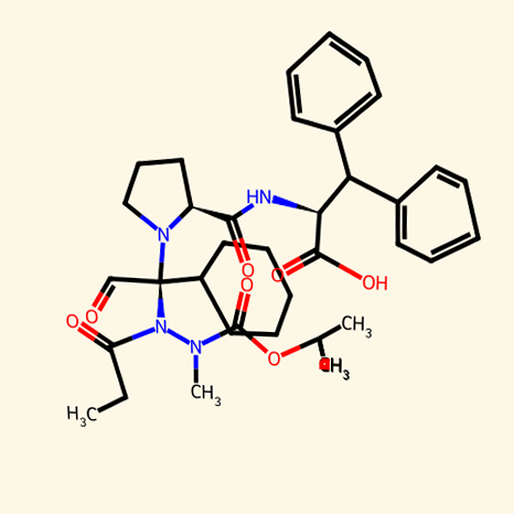 CCC(=O)N(N(C)C(=O)OC(C)(C)C)[C@](C=O)(C1CCCCC1)N1CCC[C@H]1C(=O)N[C@H](C(=O)O)C(c1ccccc1)c1ccccc1